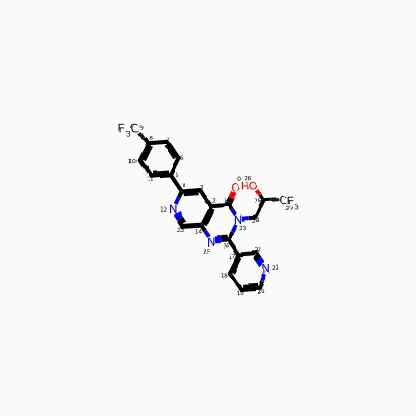 O=c1c2cc(-c3ccc(C(F)(F)F)cc3)ncc2nc(-c2cccnc2)n1CC(O)C(F)(F)F